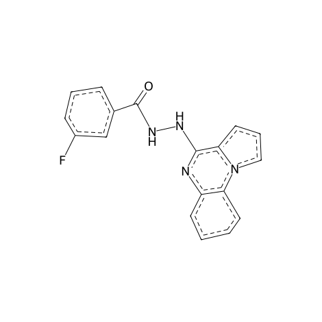 O=C(NNc1nc2ccccc2n2cccc12)c1cccc(F)c1